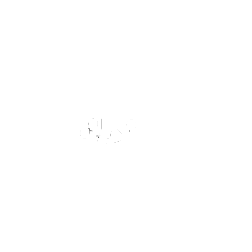 CCCCCCCC(=O)c1ccc(OC(C)(C)C(=O)O)cc1